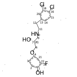 Oc1ccc(OC[C@H](O)CNCCc2ccc(Cl)c(Cl)c2)cc1F